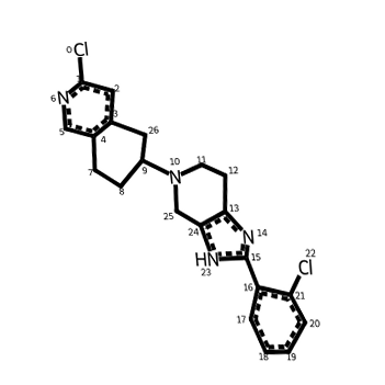 Clc1cc2c(cn1)CCC(N1CCc3nc(-c4ccccc4Cl)[nH]c3C1)C2